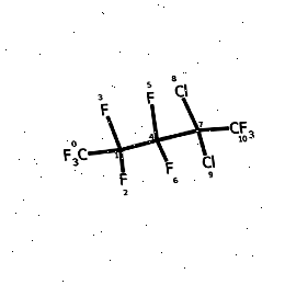 FC(F)(F)C(F)(F)C(F)(F)C(Cl)(Cl)C(F)(F)F